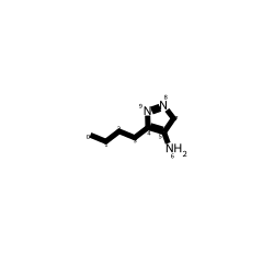 CCCCC1=C(N)CN=N1